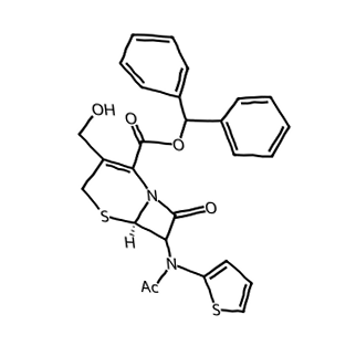 CC(=O)N(c1cccs1)C1C(=O)N2C(C(=O)OC(c3ccccc3)c3ccccc3)=C(CO)CS[C@H]12